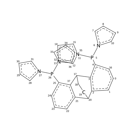 c1cc2c(c(P(n3cccc3)n3cccc3)c1)C1CCC2c2cccc(P(n3cccc3)n3cccc3)c21